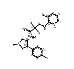 Cc1ccc([C@H]2CN(C)C[C@@H]2NC(=O)C(C)(C)COc2ncccc2C)cn1